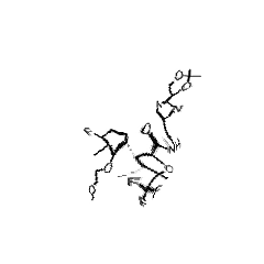 COCCOc1c([C@@H]2[C@@H](C(=O)Nc3cnc(C4COC(C)(C)O4)nc3)O[C@](C)(C(F)(F)F)[C@@H]2C)ccc(F)c1C